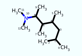 CC(C)CC(C)C(C)C(C)N(C)C